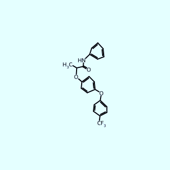 CC(Oc1ccc(Oc2ccc(C(F)(F)F)cc2)cc1)C(=O)Nc1ccccc1